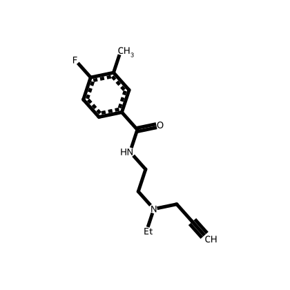 C#CCN(CC)CCNC(=O)c1ccc(F)c(C)c1